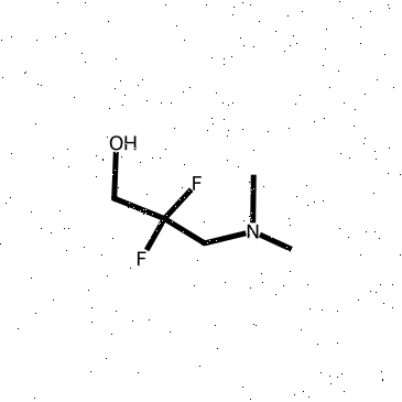 CN(C)CC(F)(F)CO